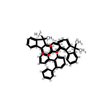 CC1(C)c2ccccc2-c2ccc(N(c3cccc(-c4ccccc4)c3-c3ccccc3-c3ccccc3)c3cccc4c3-c3ccccc3C4(C)C)cc21